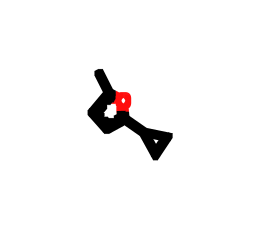 Cc1ccc(C2CC2)o1